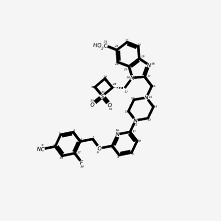 N#Cc1ccc(COc2cccc(N3CCN(Cc4nc5ccc(C(=O)O)cc5n4C[C@H]4CCS4(=O)=O)CC3)n2)c(F)c1